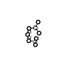 c1ccc(-c2nc(-c3ccccc3)nc(-c3cccc4c3oc3c4ccc4c5cccc(-n6c7ccccc7c7ccccc76)c5oc43)n2)cc1